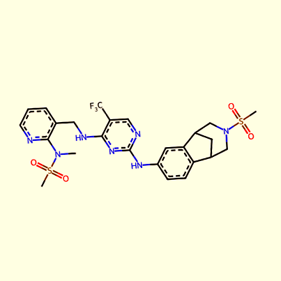 CN(c1ncccc1CNc1nc(Nc2ccc3c(c2)C2CC3CN(S(C)(=O)=O)C2)ncc1C(F)(F)F)S(C)(=O)=O